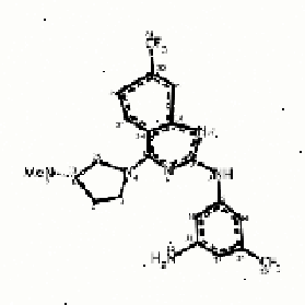 CN[C@H]1CCN(c2nc(Nc3cc(N)cc(C(F)(F)F)c3)nc3cc(C(F)(F)F)ccc23)C1